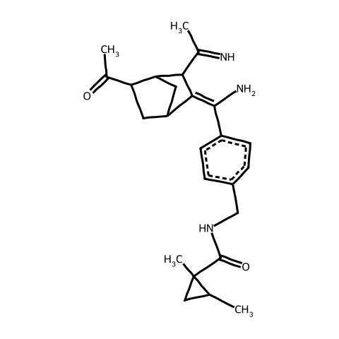 CC(=N)C1/C(=C(\N)c2ccc(CNC(=O)C3(C)CC3C)cc2)C2CC(C(C)=O)C1C2